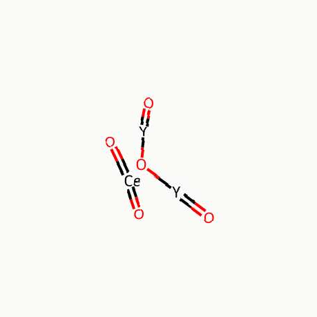 [O]=[Ce]=[O].[O]=[Y][O][Y]=[O]